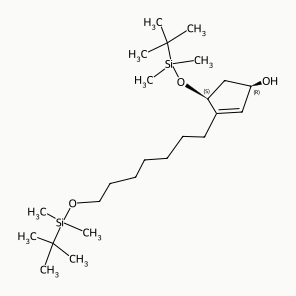 CC(C)(C)[Si](C)(C)OCCCCCCCC1=C[C@H](O)C[C@@H]1O[Si](C)(C)C(C)(C)C